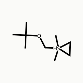 CC(C)(C)OC[SH]1(C)(C)CC1